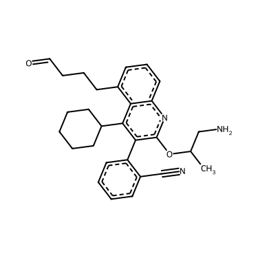 CC(CN)Oc1nc2cccc(CCCC=O)c2c(C2CCCCC2)c1-c1ccccc1C#N